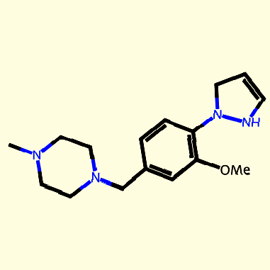 COc1cc(CN2CCN(C)CC2)ccc1N1CC=CN1